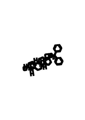 C[C@]12CCC(=O)NC1CC[C@@H]1[C@H]2CC[C@]2(C)C(OC(c3ccccc3)c3ccccc3)CC[C@@H]12